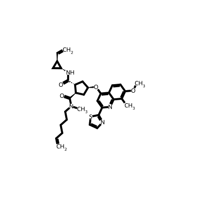 C=CCCCCN(C)C(=O)[C@@H]1C[C@H](Oc2cc(-c3nccs3)nc3c(C)c(OC)ccc23)C[C@H]1C(=O)N[C@@H]1C[C@H]1C=C